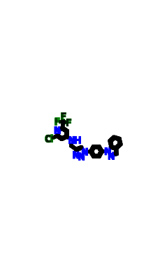 FC(F)(F)c1cc(NCc2cn(-c3ccc(-n4ncc5ccccc54)cc3)nn2)cc(Cl)n1